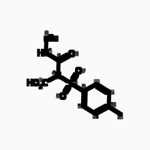 CCCCNC(=O)N(C(=O)O)S(=O)(=O)c1ccc(C)cc1